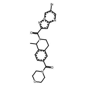 CC1c2ccc(C(=O)N3CCOCC3)cc2CCN1C(=O)c1cc2ncc(Br)cn2n1